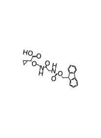 O=C(CNC(=O)OCC1c2ccccc2-c2ccccc21)NCO[C@@H](C(=O)O)C1CC1